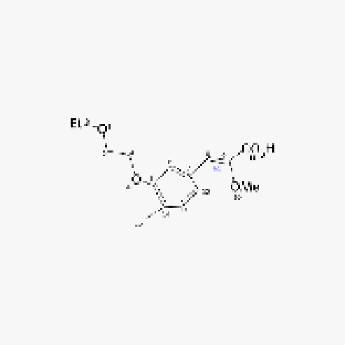 CCOCCOc1cc(/C=C(\OC)C(=O)O)ccc1I